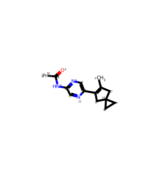 CC1=C(c2cnc(NC(=O)C(C)C)cn2)CC2(CC2)C1